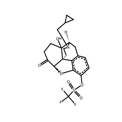 O=C1CCC2(O)[C@H]3Cc4ccc(OS(=O)(=O)C(F)(F)F)c5c4[C@@]2(CCN3CC2CC2)[C@@H]1O5